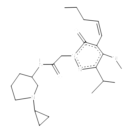 CCC/C=C\c1c(NC)c(C(C)C)nn(CC(=O)NC2CCCN(C3CC3)C2)c1=O